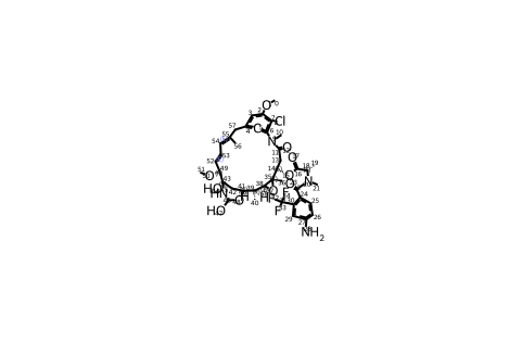 COc1cc2cc(c1Cl)N(C)C(=O)C[C@H](OC(=O)[C@H](C)N(C)C(=O)c1ccc(N)cc1C(F)(F)F)[C@]1(C)O[C@H]1[C@H](C)[C@@H]1C[C@@](O)(NC(O)O1)[C@H](OC)/C=C/C=C(\C)C2